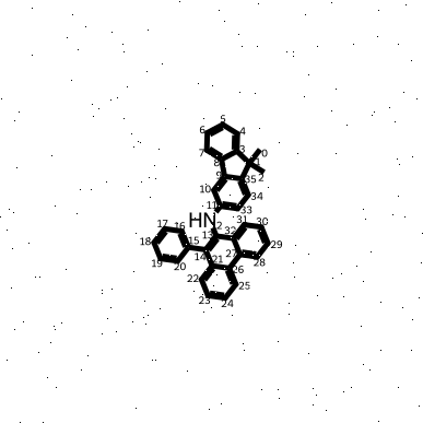 CC1(C)c2ccccc2-c2cc(Nc3c(-c4ccccc4)c4ccccc4c4ccccc34)ccc21